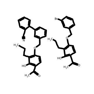 CCCc1c(OCc2cccc(-c3ccccc3C#N)c2)ccc(C(C)=O)c1O.CCCc1c(OCc2cccc(Br)c2)ccc(C(C)=O)c1O